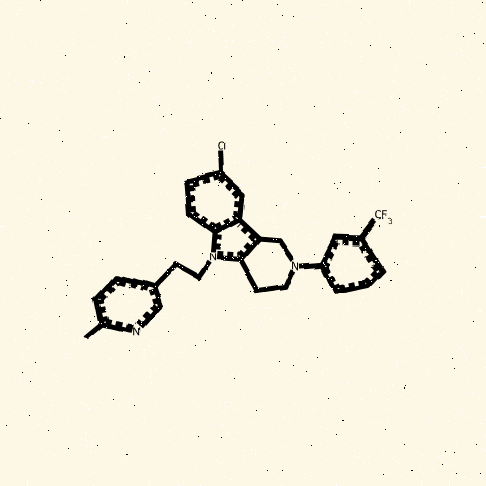 Cc1ccc(CCn2c3c(c4cc(Cl)ccc42)CN(c2cccc(C(F)(F)F)c2)CC3)cn1